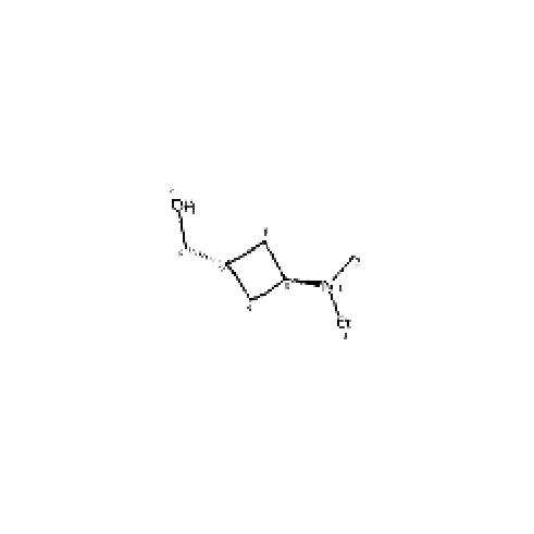 CCN(C)[C@H]1C[C@H](CO)C1